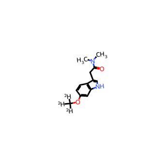 [2H]C([2H])([2H])Oc1ccc2c(CC(=O)N(C)C)c[nH]c2c1